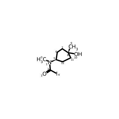 CN(C(=O)I)[C@H]1CC[C@](C)(O)CC1